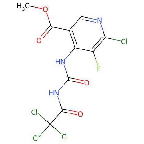 COC(=O)c1cnc(Cl)c(F)c1NC(=O)NC(=O)C(Cl)(Cl)Cl